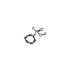 O=P(F)(OF)c1ccccc1